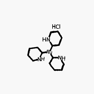 C1CC[CH]([Ru]([CH]2CCCCN2)[CH]2CCCCN2)NC1.Cl